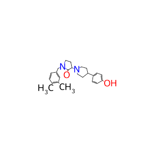 Cc1ccc(CN2CCC(N3CCC(c4ccc(O)cc4)CC3)C2=O)cc1C